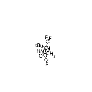 Cn1nc(C2CC(F)(F)C2)c(C(C)(C)C)c1NC(=O)OC1CC(F)C1